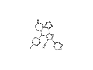 N#Cc1c(-c2ccnnc2)sc(-c2nnc[nH]2)c1C(c1ccc(I)cc1)N1CCNCC1